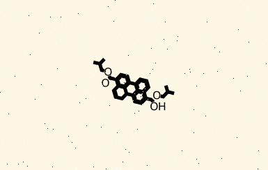 CC(C)COC(=O)c1ccc2c3c1C=CCC3c1ccc(C(O)OCC(C)C)c3cccc-2c13